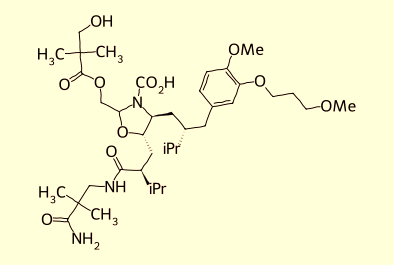 COCCCOc1cc(C[C@@H](C[C@H]2[C@H](C[C@H](C(=O)NCC(C)(C)C(N)=O)C(C)C)OC(COC(=O)C(C)(C)CO)N2C(=O)O)C(C)C)ccc1OC